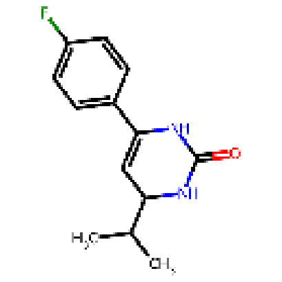 CC(C)C1C=C(c2ccc(F)cc2)NC(=O)N1